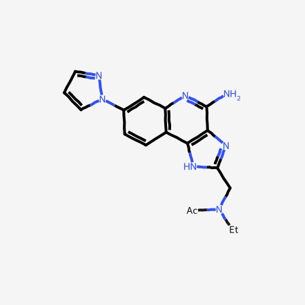 CCN(Cc1nc2c(N)nc3cc(-n4cccn4)ccc3c2[nH]1)C(C)=O